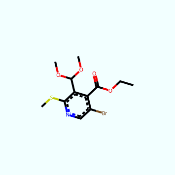 CCOC(=O)c1c(Br)cnc(SC)c1C(OC)OC